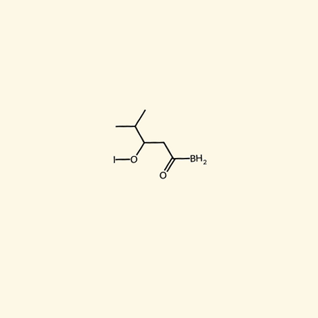 BC(=O)CC(OI)C(C)C